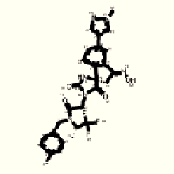 C[C@H](N(Cc1ccc(F)cc1)C(=O)CN1C(=O)N[C@]2(C/C(=N\O)c3cc(-c4cnn(C)c4)ccc32)C1=O)C(F)(F)F